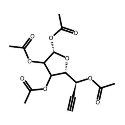 C#C[C@H](OC(C)=O)[C@H]1O[C@@H](OC(C)=O)C(OC(C)=O)C1OC(C)=O